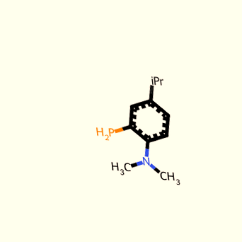 CC(C)c1ccc(N(C)C)c(P)c1